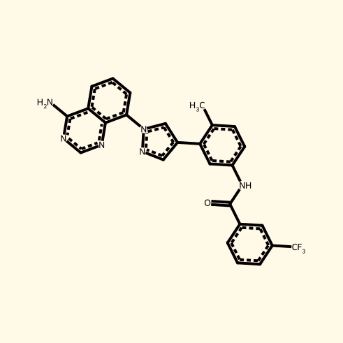 Cc1ccc(NC(=O)c2cccc(C(F)(F)F)c2)cc1-c1cnn(-c2cccc3c(N)ncnc23)c1